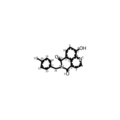 O=C1c2ccnc3c(O)ccc(c23)C(=O)N1Cc1ccc(I)cc1